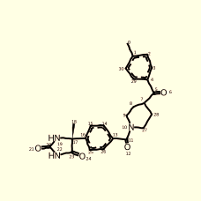 Cc1ccc(C(=O)C2CCN(C(=O)c3ccc([C@@]4(C)NC(=O)NC4=O)cc3)CC2)cc1